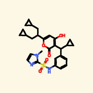 Cn1ccnc1S(=O)(=O)Nc1cccc(C(c2c(O)cc(C(CC3CC3)CC3CC3)oc2=O)C2CC2)c1